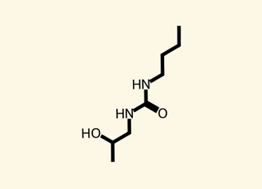 CCCCNC(=O)NCC(C)O